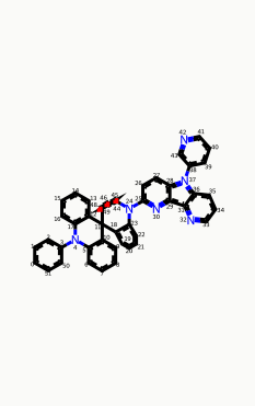 c1ccc(N2c3ccccc3C3(c4ccccc42)c2ccccc2N(c2ccc4c(n2)c2ncccc2n4-c2cccnc2)c2ccccc23)cc1